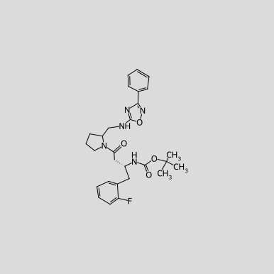 CC(C)(C)OC(=O)N[C@@H](CC(=O)N1CCCC1CNc1nc(-c2ccccc2)no1)Cc1ccccc1F